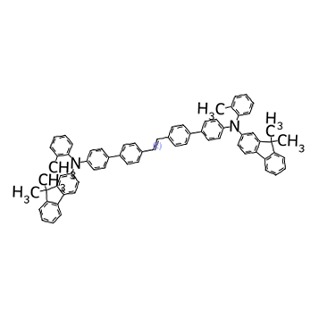 Cc1ccccc1N(c1ccc(-c2ccc(/C=C/c3ccc(-c4ccc(N(c5ccc6c(c5)C(C)(C)c5ccccc5-6)c5ccccc5C)cc4)cc3)cc2)cc1)c1ccc2c(c1)C(C)(C)c1ccccc1-2